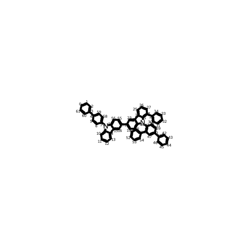 c1ccc(-c2ccc(-n3c4ccccc4c4cc(-c5ccc6c(c5)c5cccc(-c7ccccc7)c5n6-c5ccc(-c6ccccc6)cc5-c5ccccc5)ccc43)cc2)cc1